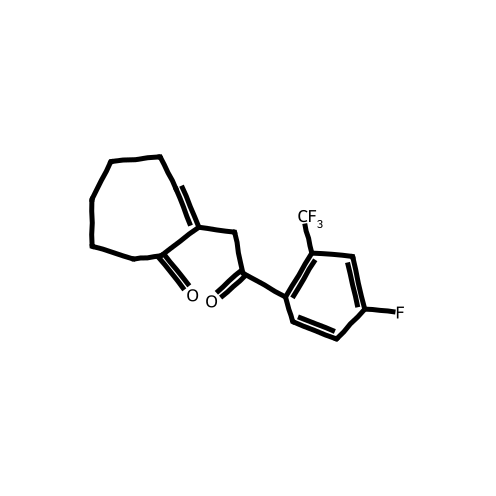 O=C1CCCCC/C=C\1CC(=O)c1ccc(F)cc1C(F)(F)F